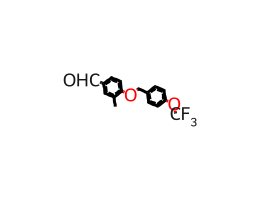 Cc1cc(C=O)ccc1OCc1ccc(OC(F)(F)F)cc1